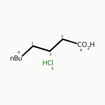 CCCCCCCC(=O)O.Cl